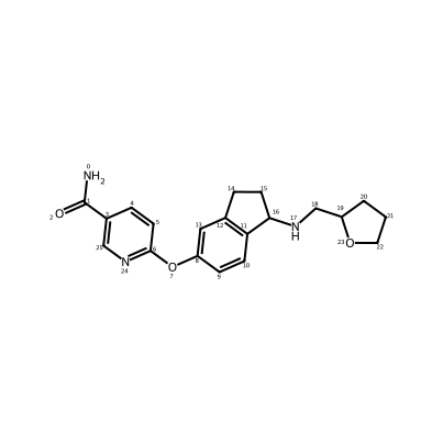 NC(=O)c1ccc(Oc2ccc3c(c2)CCC3NCC2CCCO2)nc1